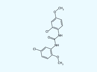 COc1ccc(NC(=O)Nc2cc(Cl)ccc2OC)c(Cl)c1